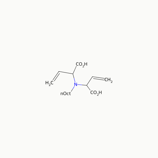 C=CC(C(=O)O)N(CCCCCCCC)C(C=C)C(=O)O